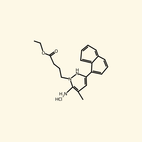 CCOC(=O)CCCN1NC(c2cccc3ccccc23)=CC(C)=C1N.Cl